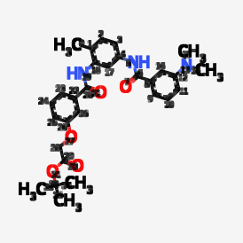 Cc1ccc(NC(=O)c2cccc(N(C)C)c2)cc1NC(=O)c1cccc(OCC(=O)OC(C)(C)C)c1